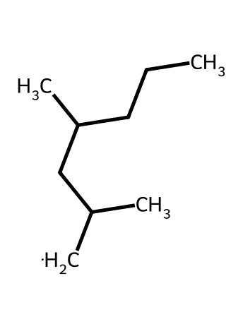 [CH2]C(C)CC(C)CCC